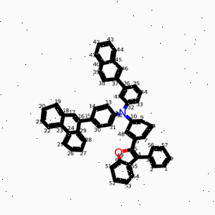 c1ccc(-c2c(-c3cccc(N(c4ccc(-c5cc6ccccc6c6ccccc56)cc4)c4cccc(-c5ccc6ccccc6c5)c4)c3)oc3ccccc23)cc1